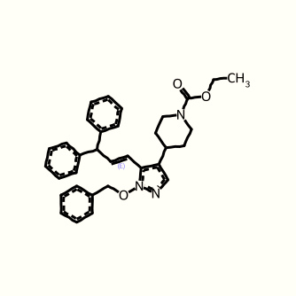 CCOC(=O)N1CCC(c2cnn(OCc3ccccc3)c2/C=C/C(c2ccccc2)c2ccccc2)CC1